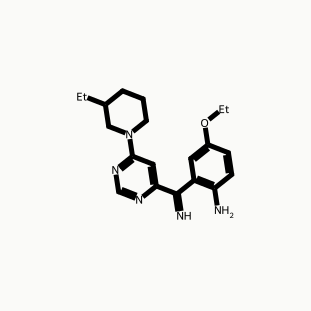 CCOc1ccc(N)c(C(=N)c2cc(N3CCCC(CC)C3)ncn2)c1